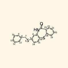 O=C1Nc2cc(SCc3ccccc3)ccc2Sc2ccccc21